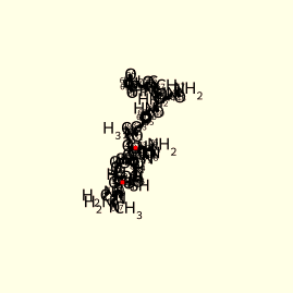 C=Nc1c(/C(N)=N\C)ncn1[C@@H]1O[C@@H]2CO[P@@](=O)(S)O[C@H]3[C@@H](OC(=O)OCCN(C)C(=O)OCc4ccc(NC(=O)[C@H](CCCNC(N)=O)NC(=O)[C@@H](NC(=O)CCN5C(=O)C=CC5=O)C(C)C)cc4)[C@H](n4cnc5c(N)ncnc54)O[C@@H]3CO[P@@](=O)(S)O[C@@H]1[C@@H]2O